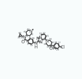 CN1CCC(N(C(=O)c2ccc(Nc3nc4c(N5CCC(O)(c6ccc(Cl)cc6)CC5)cccn4n3)cc2)C2CC2)CC1